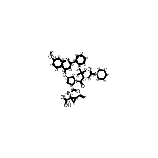 C=CC1CC1(NC(=O)[C@@H]1C[C@@H](Oc2cc(-c3ccccc3)nc3cc(OC)ccc23)CN1C(=O)[C@@H](CC(=O)N1CCCCC1)C(C)(C)C)C(=O)O